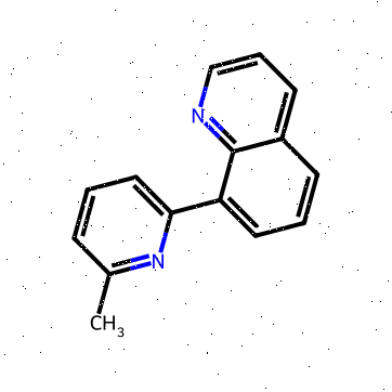 Cc1cccc(-c2cccc3cccnc23)n1